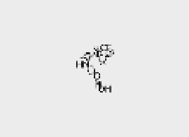 Cc1ccc(-n2nc(C(F)(F)F)c3c2CC(C)(C)CC3=O)cc1NC1CCC(OC/C=N/O)CC1